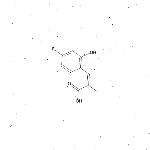 CC(=Cc1ccc(F)cc1O)C(=O)O